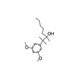 CCCCCC(C)(O)C(C)(C)c1cc(OC)cc(OC)c1